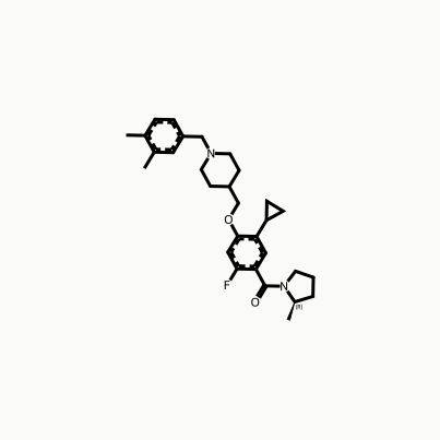 Cc1ccc(CN2CCC(COc3cc(F)c(C(=O)N4CCC[C@H]4C)cc3C3CC3)CC2)cc1C